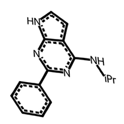 CC(C)Nc1nc(-c2ccccc2)nc2[nH]ccc12